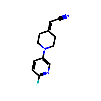 N#CC=C1CCN(c2ccc(F)nc2)CC1